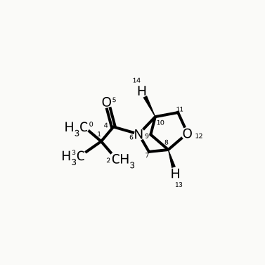 CC(C)(C)C(=O)N1C[C@@H]2C[C@H]1CO2